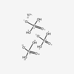 O=P([O-])(O)O.O=P([O-])(O)O.O=P([O-])(O)O.[Ti+3]